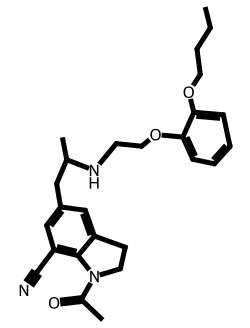 CCCCOc1ccccc1OCCNC(C)Cc1cc(C#N)c2c(c1)CCN2C(C)=O